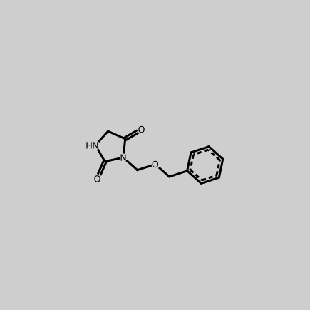 O=C1CNC(=O)N1COCc1ccccc1